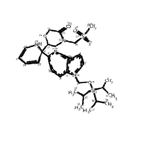 CC(C)[Si](OCn1ccc2nc(C3(C4CN(CS(C)(=O)=O)C(=O)CO4)C=CC=CN3)ccc21)(C(C)C)C(C)C